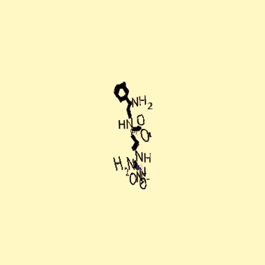 COC(=O)[C@H](CCCN/C(N)=N/[N+](=O)[O-])NCCC(N)c1ccccc1